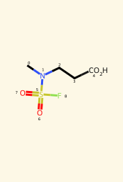 CN(CCC(=O)O)S(=O)(=O)F